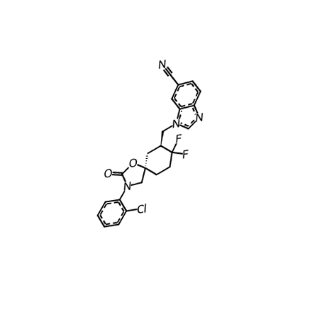 N#Cc1ccc2ncn(C[C@@H]3C[C@]4(CCC3(F)F)CN(c3ccccc3Cl)C(=O)O4)c2c1